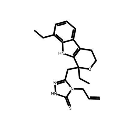 C=CCn1c(CC2(CC)OCCc3c2[nH]c2c(CC)cccc32)n[nH]c1=S